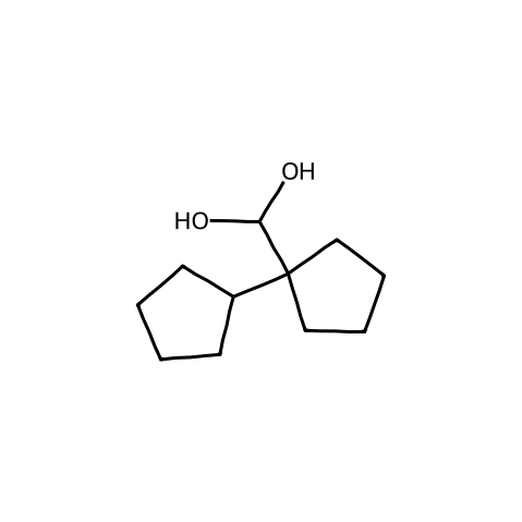 OC(O)C1(C2CCCC2)CCCC1